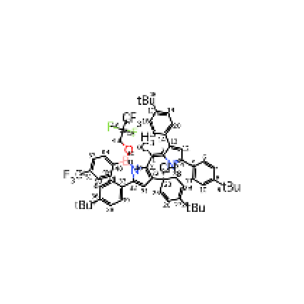 C/C(=C1/N=C(c2ccc(C(C)(C)C)cc2)C=C1c1ccc(C(C)(C)C)cc1)c1c([C@]2(C)C=CC(C(C)(C)C)=CC2)cc(-c2ccc(C(C)(C)C)cc2)n1B(OCC(F)(F)C(F)(F)F)c1ccc(C(F)(F)F)cc1